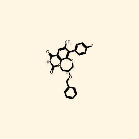 O=c1[nH]c(=O)n2c3c(c(-c4ccc(F)cc4)c(C(F)(F)F)cc13)SC[C@@H](OCc1ccccc1)C2